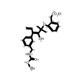 C=C/C(=C(/O)C(C)(C)Oc1ccccc1CC(=O)OCC)c1cccc(CNC(=O)OC(C)(C)C)c1